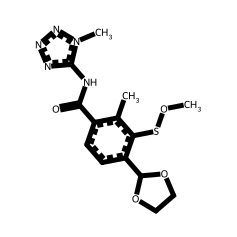 COSc1c(C2OCCO2)ccc(C(=O)Nc2nnnn2C)c1C